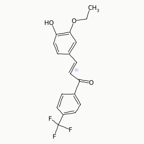 CCOc1cc(/C=C/C(=O)c2ccc(C(F)(F)F)cc2)ccc1O